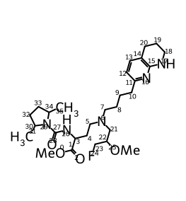 COC(=O)C(CCN(CCCCc1ccc2c(n1)NCCC2)CC(CF)OC)NC(=O)N1C(C)CCC1C